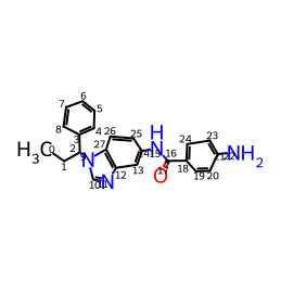 CCC(c1ccccc1)n1cnc2cc(NC(=O)c3ccc(N)cc3)ccc21